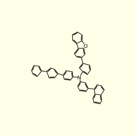 c1ccc(-c2ccc(-c3ccc(N(c4cccc(-c5ccc6c(c5)oc5ccccc56)c4)c4cccc(-c5cccc6ccccc56)c4)cc3)cc2)cc1